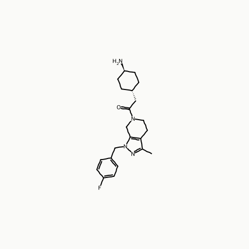 Cc1nn(Cc2ccc(F)cc2)c2c1CCN(C(=O)C[C@H]1CC[C@H](N)CC1)C2